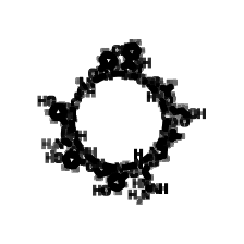 CC(C)C[C@@H]1NC(=O)[C@@H]2CCCN2C(=O)[C@H](CCCNC(=N)N)NC(=O)[C@H](Cc2ccc(O)cc2)NC(=O)[C@@H]2CCCN2C(=O)[C@H](Cc2ccc(O)cc2)NC(=O)[C@H](CC(N)=O)NC(=O)[C@@H](Cc2ccc(O)cc2)NC(=O)CSC[C@@H](I)NC(=O)[C@H](Cc2ccc(O)cc2)NC(=O)[C@H](Cc2c[nH]c3ccccc23)NC(=O)CNC(=O)[C@H](CC(C)C)NC(=O)[C@H](CCCC(=O)O)CC1=O